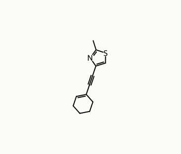 Cc1nc(C#CC2=CCCCC2)cs1